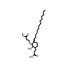 CCCCCCCCCCCCCC=C1CCC(CCC(=O)O)C(O)[C@H]1SCCC(=O)OC